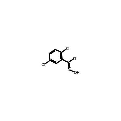 ON=C(Cl)c1cc(Cl)ccc1Cl